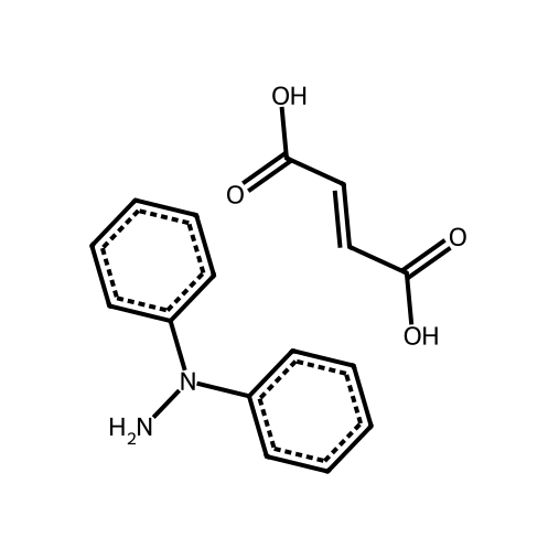 NN(c1ccccc1)c1ccccc1.O=C(O)/C=C/C(=O)O